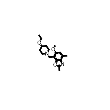 CCOC1CCN(Cc2c(OC)cc(C)c3nc(C)oc23)CC1